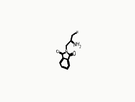 NC(CF)CN1C(=O)c2ccccc2C1=O